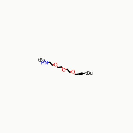 CC(C)(C)C#CCOCCOCCOCCNC(C)(C)C